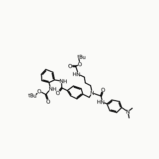 CN(C)c1ccc(NC(=O)N(CCCNC(=O)OC(C)(C)C)Cc2ccc(C(=O)Nc3ccccc3NC(=O)OC(C)(C)C)cc2)cc1